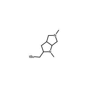 CN1CC2CC(CC(C)(C)C)N(C)C2C1